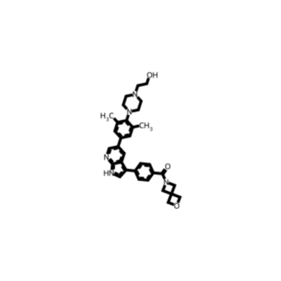 Cc1cc(-c2cnc3[nH]cc(-c4ccc(C(=O)N5CC6(COC6)C5)cc4)c3c2)cc(C)c1N1CCN(CCO)CC1